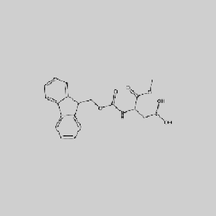 COC(=O)C(CB(O)O)NC(=O)OCC1c2ccccc2-c2ccccc21